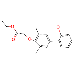 CCOC(=O)COc1c(C)cc(-c2ccccc2O)cc1C